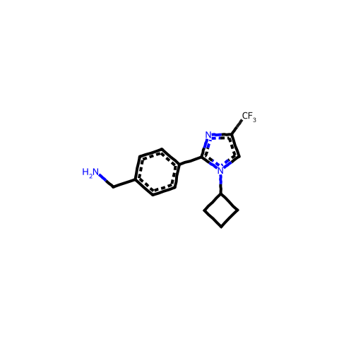 NCc1ccc(-c2nc(C(F)(F)F)cn2C2CCC2)cc1